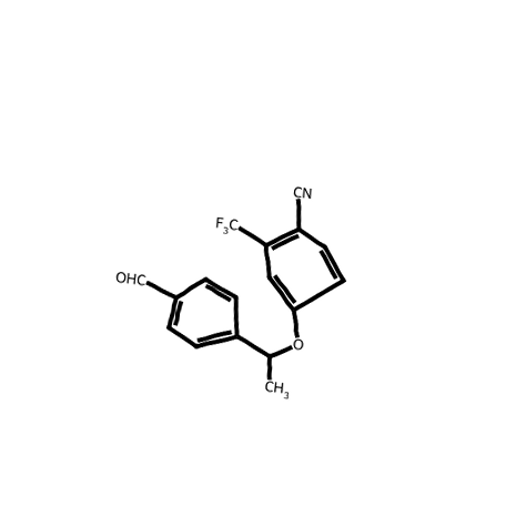 CC(Oc1ccc(C#N)c(C(F)(F)F)c1)c1ccc(C=O)cc1